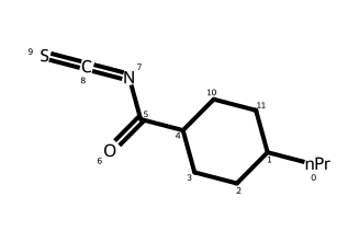 CCCC1CCC(C(=O)N=C=S)CC1